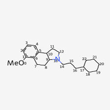 COc1cccc2c1CCC1C2CCN1CCCC1CCCCC1